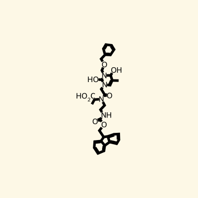 CC1=CN(CC(=O)N(CCNC(=O)OCC2c3ccccc3-c3ccccc32)C(C)C(=O)O)C(O)N(COCc2ccccc2)C1O